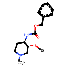 CCO[C@H]1CN(C(=O)O)CC[C@H]1NC(=O)OCc1ccccc1